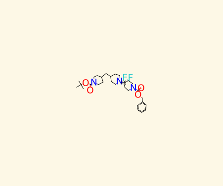 CC(C)(C)OC(=O)N1CCC(CC2CCN([C@@H]3CCN(C(=O)OCc4ccccc4)CC3(F)F)CC2)CC1